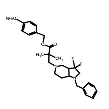 COc1ccc(COC(=O)C(C)(C)CN2CCC3C(C2)C(F)(F)CN3Cc2ccccc2)cc1